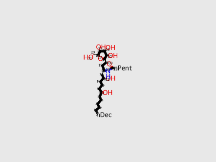 CCCCCCCCCCCCCCCC(O)CCC[C@@H](O)C[C@H](CC[C@H]1O[C@H](CO)[C@@H](O)[C@H](O)[C@H]1O)NC(=O)CCCCC